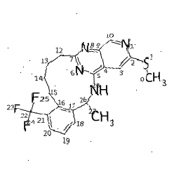 CSc1cc2c3nc(nc2cn1)CCCCc1c(cccc1C(F)(F)F)C(C)N3